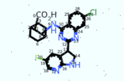 O=C(O)C1C2CCC(CC2)C1Nc1nc(C2CNc3ncc(F)cc32)nc2cc(Cl)ccc12